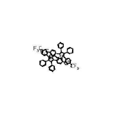 C[Si]1(CC[Si]2(C)C(c3ccc(C(F)(F)F)cc3)=C(c3ccccc3)C(c3ccccc3)=C2c2ccc(C(F)(F)F)cc2)C(c2ccc(C(F)(F)F)cc2)=C(c2ccccc2)C(c2ccccc2)=C1c1ccc(C(F)(F)F)cc1